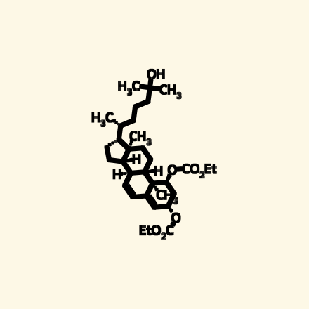 CCOC(=O)O[C@@H]1C=C2C=C[C@H]3[C@@H]4CC[C@H]([C@H](C)CCCC(C)(C)O)[C@@]4(C)CC[C@@H]3[C@@]2(C)[C@@H](OC(=O)OCC)C1